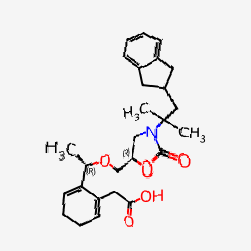 C[C@@H](OC[C@H]1CN(C(C)(C)CC2Cc3ccccc3C2)C(=O)O1)C1=CCCC=C1CC(=O)O